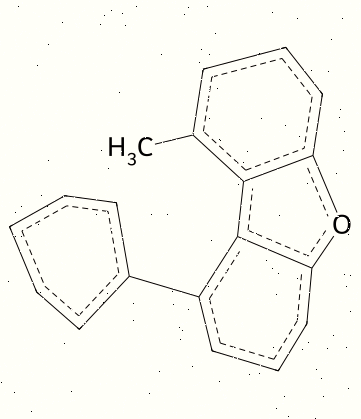 Cc1cccc2oc3cccc(-c4ccccc4)c3c12